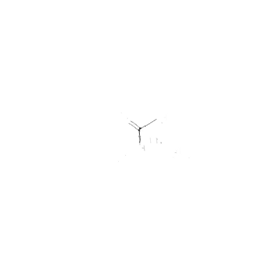 N.O.O=C(O)O.[SrH2]